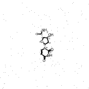 NC(I)[C@H]1O[C@@H](n2ccc(=O)[nH]c2=O)C[C@@H]1O